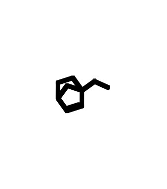 C[CH]C12C=CC(CC1)C2